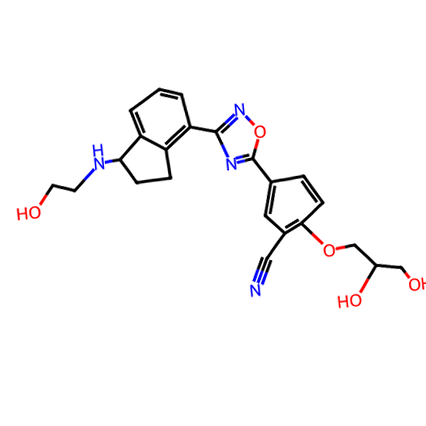 N#Cc1cc(-c2nc(-c3cccc4c3CCC4NCCO)no2)ccc1OCC(O)CO